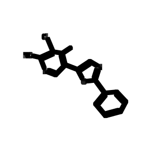 Cc1c(-c2cnc(-c3ccccc3)o2)cnc(C#N)c1Cl